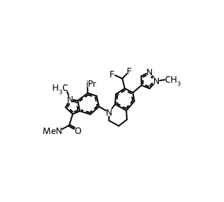 CNC(=O)c1cn(C)c2c(C(C)C)cc(N3CCCc4cc(-c5cnn(C)c5)c(C(F)F)cc43)cc12